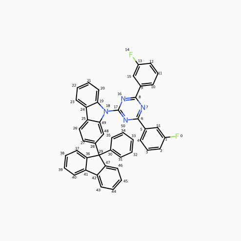 Fc1cccc(-c2nc(-c3cccc(F)c3)nc(-n3c4ccccc4c4ccc(C5(c6ccccc6)c6ccccc6-c6ccccc65)cc43)n2)c1